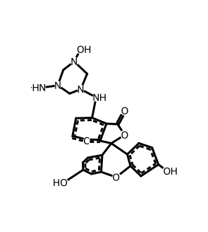 [NH]N1CN(O)CN(Nc2cccc3c2C(=O)OC32c3ccc(O)cc3Oc3cc(O)ccc32)C1